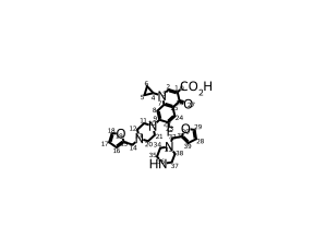 O=C(O)c1cn(C2CC2)c2cc(N3CCN(Cc4ccco4)CC3)c(F)cc2c1=O.c1coc(CN2CCNCC2)c1